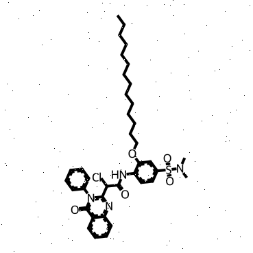 CCCCCCCCCCCCCCOc1cc(S(=O)(=O)N(C)C)ccc1NC(=O)C(Cl)c1nc2ccccc2c(=O)n1-c1ccccc1